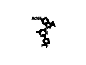 CC(=O)Nc1cc2c(cn1)C1(CC1)CN2c1cc(C)nc(C2CCC(F)(F)C2)n1